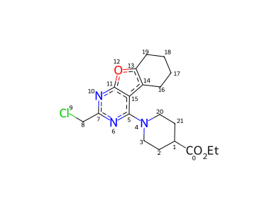 CCOC(=O)C1CCN(c2nc(CCl)nc3oc4c(c23)CCCC4)CC1